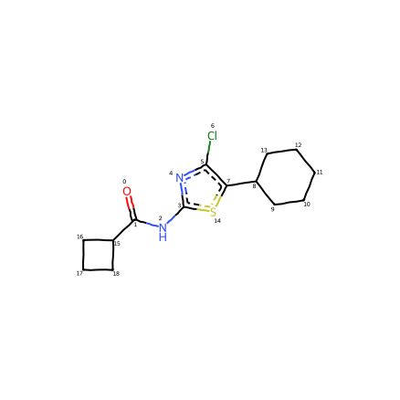 O=C(Nc1nc(Cl)c(C2CCCCC2)s1)C1CCC1